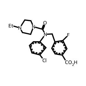 CCN1CCN(C(=O)N(Cc2ccc(C(=O)O)cc2F)c2cccc(Cl)c2)CC1